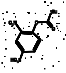 CC(C)(C)C(=O)Oc1ccc(S(=O)(=O)O)cc1[N+](=O)[O-]